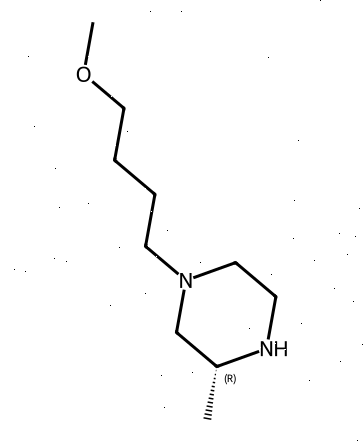 COCCCCN1CCN[C@H](C)C1